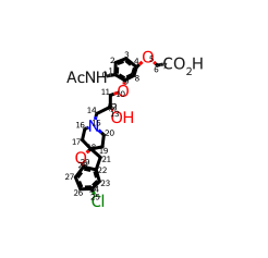 CC(=O)Nc1ccc(OCC(=O)O)cc1OC[C@@H](O)CN1CCC2(CC1)Cc1cc(Cl)ccc1O2